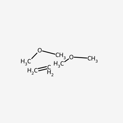 C=C.COC.COC